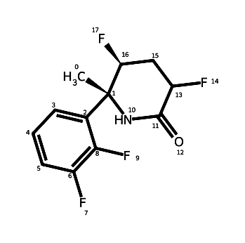 C[C@]1(c2cccc(F)c2F)NC(=O)C(F)C[C@@H]1F